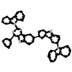 c1ccc(-c2nc(-n3c4ccccc4c4ccccc43)nc3c2oc2ccc(-c4ccc5oc6ccc(-n7c8ccccc8c8ccccc87)cc6c5c4)cc23)cc1